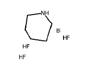 C1CCNCC1.F.F.F.[B]